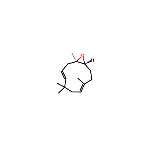 C/C1=C\CC(C)(C)/C=C/C[C@@]2(C)O[C@@H]2CC1